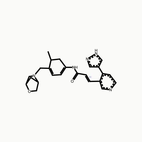 CC1CC(NC(=O)/C=C/c2cnccc2-c2cn[nH]c2)=CC=C1CN1CC2CC1CO2